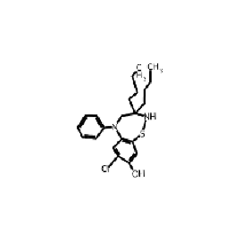 CCCCC1(CCCC)CN(c2ccccc2)c2cc(Cl)c(O)cc2SN1